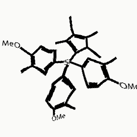 COc1ccc([Si](C2=C(C)C(C)=C(C)C2C)(c2ccc(OC)c(C)c2)c2ccc(OC)c(C)c2)cc1C